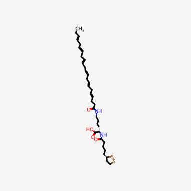 CCC=CCC=CCC=CCC=CCC=CCC=CCCC(=O)NCCCC[C@H](NC(=O)CCCC[C@@H]1CCSS1)C(=O)O